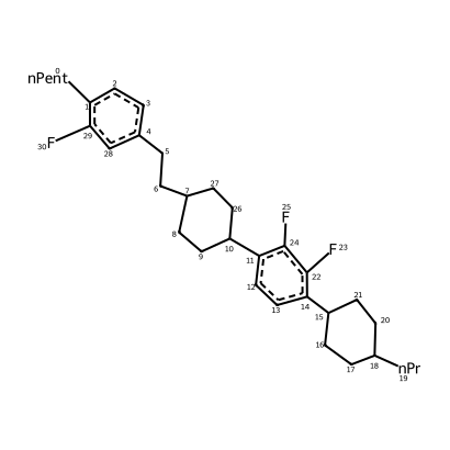 CCCCCc1ccc(CCC2CCC(c3ccc(C4CCC(CCC)CC4)c(F)c3F)CC2)cc1F